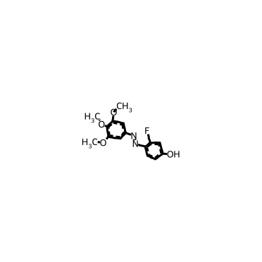 COc1cc(/N=N/c2ccc(O)cc2F)cc(OC)c1OC